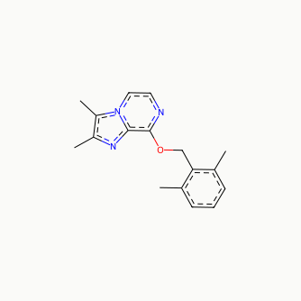 Cc1cccc(C)c1COc1nccn2c(C)c(C)nc12